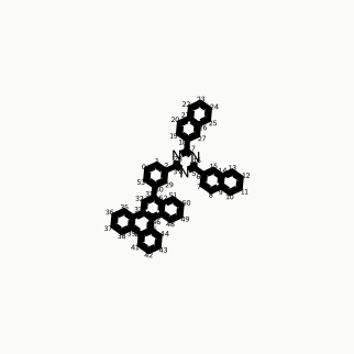 c1cc(-c2nc(-c3ccc4ccccc4c3)nc(-c3ccc4ccccc4c3)n2)cc(-c2cc3c4ccccc4c4ccccc4c3c3ccccc23)c1